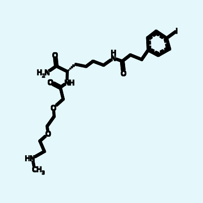 CNCCOCCOCC(=O)N[C@@H](CCCCNC(=O)CCc1ccc(I)cc1)C(N)=O